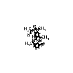 Cc1nnc(N[C@H](C)c2cccc(C(F)(F)F)c2)c2cc3c(cc12)n(C)c(=O)n3C(C)C#N